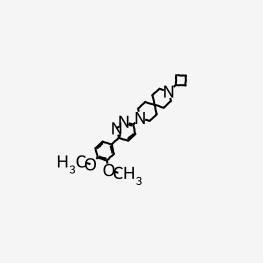 COc1ccc(-c2ccc(N3CCC4(CC3)CCN(C3CCC3)CC4)nn2)cc1OC